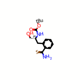 CC(C)(C)OC(=O)N[C@@H](CO)Cc1ccccc1C(N)=S